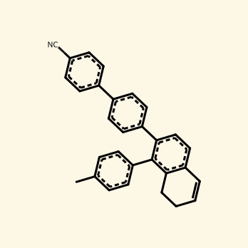 Cc1ccc(-c2c(-c3ccc(-c4ccc(C#N)cc4)cc3)ccc3c2CCC=C3)cc1